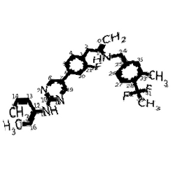 C=C(Cc1ccc(-c2cnc(NC(/C=C\C)=C/C)nc2)cc1F)NCc1ccc(C(C)(F)F)c(C)c1